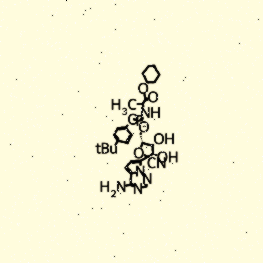 C[C@H](NP(OC[C@H]1O[C@@](C#N)(c2ccc3c(N)ncnn23)[C@H](O)[C@@H]1O)Oc1ccc(C(C)(C)C)cc1)C(=O)OC1CCCCC1